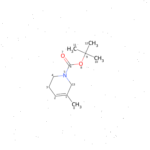 CC1=CCCN(C(=O)OC(C)(C)C)C1